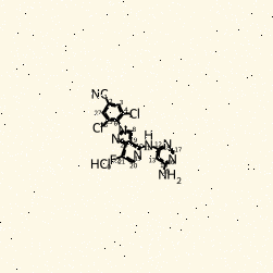 Cl.N#Cc1cc(Cl)c(-n2cc3c(Nc4cc(N)ncn4)ncc(F)c3n2)c(Cl)c1